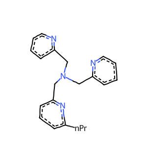 CCCc1cccc(CN(Cc2ccccn2)Cc2ccccn2)n1